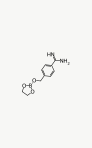 N=C(N)c1ccc(COB2OCCO2)cc1